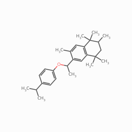 Cc1cc2c(cc1C(C)Oc1ccc(C(C)C)cc1)C(C)(C)CC(C)C2(C)C